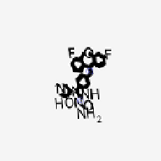 CN1CC(O)[C@@H](n2/c(=N/C(N)=O)[nH]c3cc(/C=C4/c5ccc(F)cc5OCc5c(F)cccc54)ccc32)C1